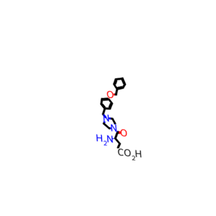 N[C@@H](CCC(=O)O)C(=O)N1CCN(Cc2ccc(OCc3ccccc3)cc2)CC1